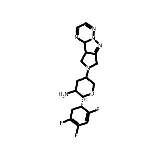 NC1CC(N2CC3=NN4N=CC=NC4C3C2)CO[C@@H]1C1CC(F)=C(F)C=C1F